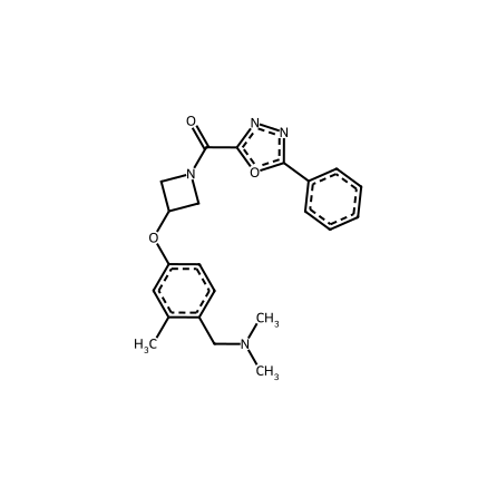 Cc1cc(OC2CN(C(=O)c3nnc(-c4ccccc4)o3)C2)ccc1CN(C)C